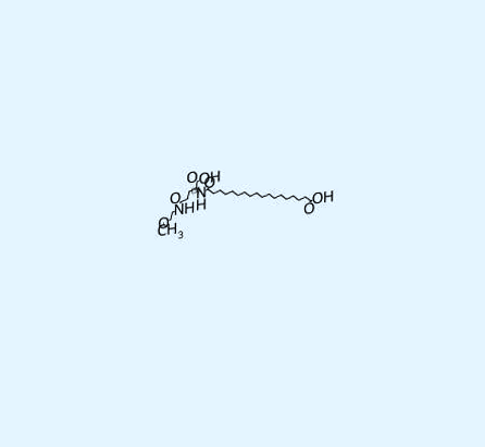 COCCNC(=O)CC[C@H](NC(=O)CCCCCCCCCCCCCCCCC(=O)O)C(=O)O